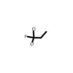 [CH2]CC(F)(Cl)Cl